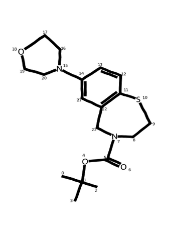 CC(C)(C)OC(=O)N1CCSc2ccc(N3CCOCC3)cc2C1